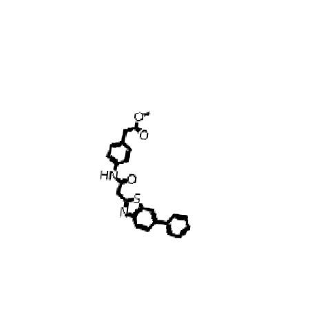 COC(=O)Cc1ccc(NC(=O)Cc2nc3ccc(-c4ccccc4)cc3s2)cc1